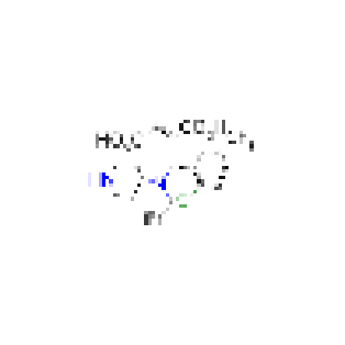 CC(C)CN(Cc1cc(C(F)(F)F)ccc1Cl)C1CCNCC1.O=C(O)C=CC(=O)O